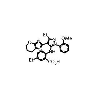 CCc1ccc(Nc2c(-c3nc4c(s3)CCCO4)c(CC)nn2-c2ccccc2OC)c(C(=O)O)c1